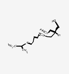 CCC(CO)(CO)COCCCSC(C)C(=O)O